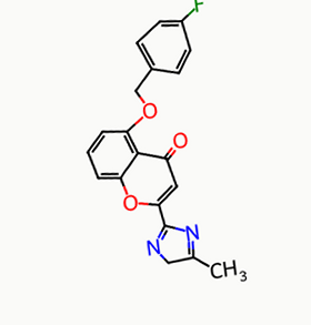 CC1=NC(c2cc(=O)c3c(OCc4ccc(F)cc4)cccc3o2)=NC1